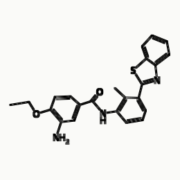 CCOc1ccc(C(=O)Nc2cccc(-c3nc4ccccc4s3)c2C)cc1N